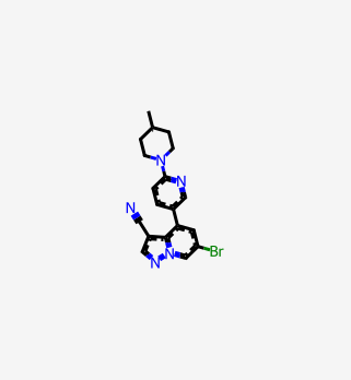 C[C]1CCN(c2ccc(-c3cc(Br)cn4ncc(C#N)c34)cn2)CC1